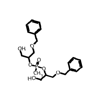 CP(=O)(OC(CO)COCc1ccccc1)OC(CO)COCc1ccccc1